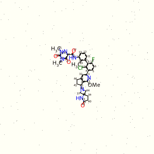 COc1nc(-c2ccc(F)c(-c3cccc(NC(=O)c4nn(C)c(=O)n(C)c4=O)c3C)c2Cl)cc2c1C(N1CC3(CCC(=O)N3)C1)CC2